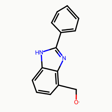 [O]Cc1cccc2[nH]c(-c3ccccc3)nc12